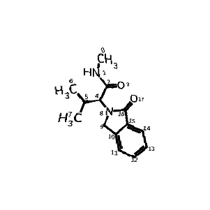 CNC(=O)[C@H](C(C)C)N1Cc2ccccc2C1=O